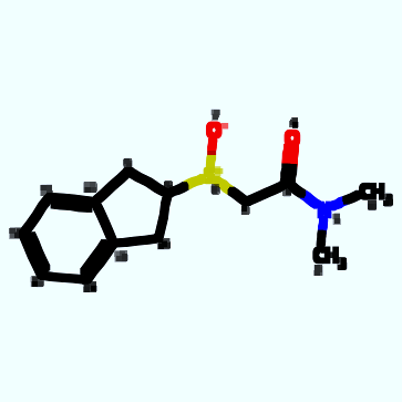 CN(C)C(=O)C[S+]([O-])C1Cc2ccccc2C1